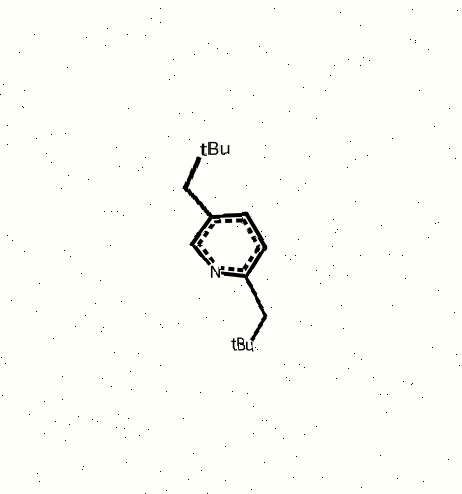 CC(C)(C)Cc1ccc(CC(C)(C)C)nc1